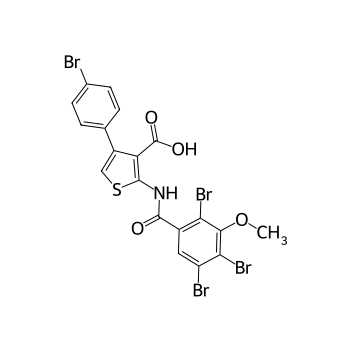 COc1c(Br)c(Br)cc(C(=O)Nc2scc(-c3ccc(Br)cc3)c2C(=O)O)c1Br